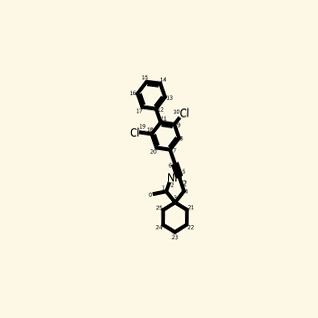 CC(N)C1(CC#Cc2cc(Cl)c(-c3ccccc3)c(Cl)c2)CCCCC1